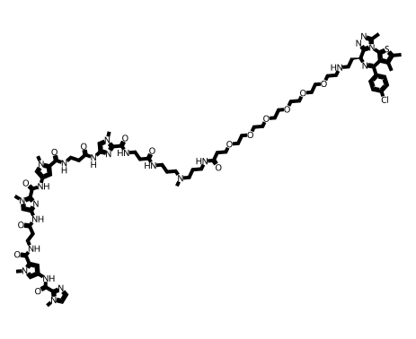 Cc1sc2c(c1C)C(c1ccc(Cl)cc1)=N[C@@H](CCNCCOCCOCCOCCOCCOCCOCCC(=O)NCCCN(C)CCCNC(=O)CCNC(=O)c1nc(NC(=O)CCNC(=O)c3cc(NC(=O)c4nc(NC(=O)CCNC(=O)c5cc(NC(=O)c6nccn6C)cn5C)cn4C)cn3C)cn1C)c1nnc(C)n1-2